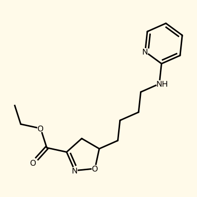 CCOC(=O)C1=NOC(CCCCNc2ccccn2)C1